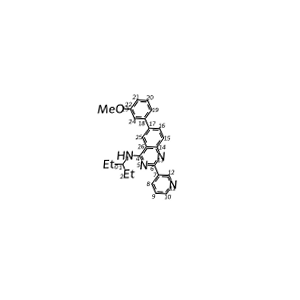 CCC(CC)Nc1nc(-c2cccnc2)nc2ccc(-c3cccc(OC)c3)cc12